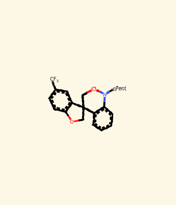 CCCCCN1OCC2(COc3ccc(C(F)(F)F)cc32)c2ccccc21